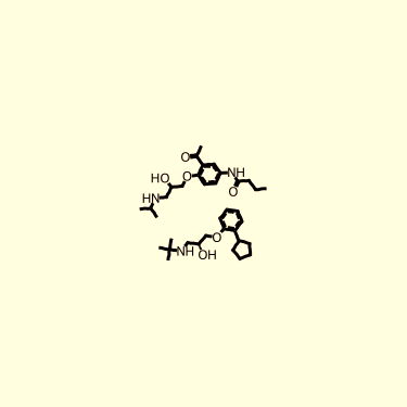 CC(C)(C)NC[C@H](O)COc1ccccc1C1CCCC1.CCCC(=O)Nc1ccc(OCC(O)CNC(C)C)c(C(C)=O)c1